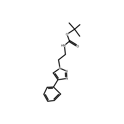 CC(C)(C)OC(=O)NCCn1cc(-c2ccccc2)nn1